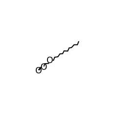 CCCCCCCCCCCCOCCOC=O